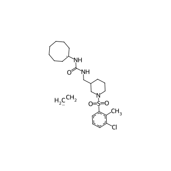 Cc1c(Cl)cccc1S(=O)(=O)N1CCCC(CNC(=O)N[C]2CCCCCCC2)C1.[CH2].[CH2]